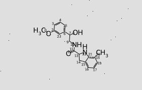 COc1cccc(C(O)CNC(=O)C2Cc3cccc(C)c3N2)c1